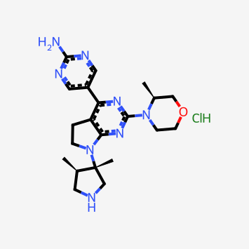 C[C@@H]1CNC[C@@]1(C)N1CCc2c(-c3cnc(N)nc3)nc(N3CCOC[C@@H]3C)nc21.Cl